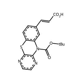 CC(C)(C)OC(=O)N1c2cc(C=CC(=O)O)ccc2Sc2nccnc21